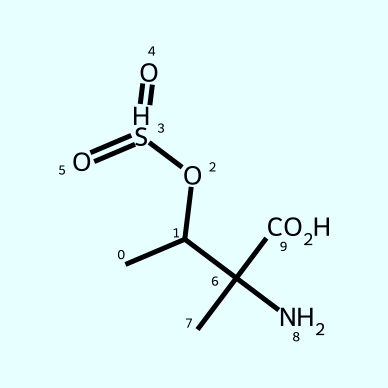 CC(O[SH](=O)=O)C(C)(N)C(=O)O